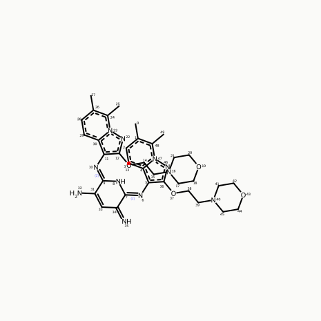 Cc1ccc2c(/N=C3\N/C(=N\c4c(OCCN5CCOCC5)nn5c(C)c(C)ccc45)C(N)=CC3=N)c(OCCN3CCOCC3)nn2c1C